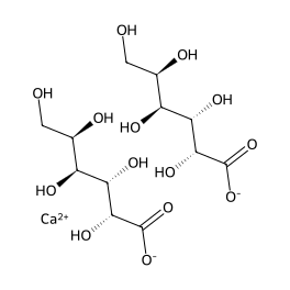 O=C([O-])[C@H](O)[C@@H](O)[C@@H](O)[C@H](O)CO.O=C([O-])[C@H](O)[C@@H](O)[C@@H](O)[C@H](O)CO.[Ca+2]